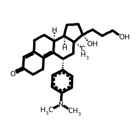 CN(C)c1ccc([C@H]2C[C@@]3(C)[C@H](CC[C@@]3(O)CCCO)[C@@H]3CCC4=CC(=O)CCC4=C32)cc1